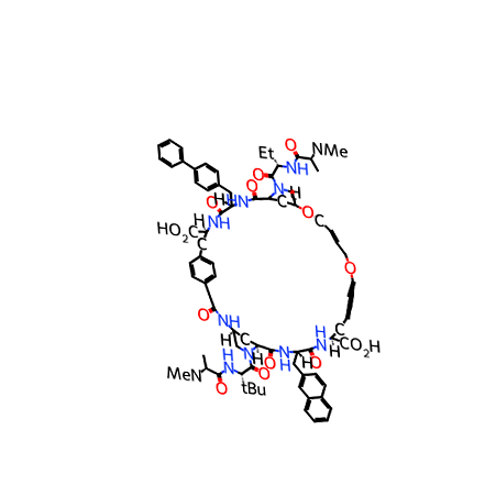 CC[C@H](NC(=O)[C@H](C)NC)C(=O)N1C[C@@H]2CC1C(=O)N[C@@H](Cc1ccc(-c3ccccc3)cc1)C(=O)N[C@H](C(=O)O)Cc1ccc(cc1)C(=O)N[C@H]1C[C@@H](C(=O)N[C@@H](Cc3ccc4ccccc4c3)C(=O)N[C@H](C(=O)O)Cc3ccc(cc3)OC/C=C/CO2)N(C(=O)[C@@H](NC(=O)[C@H](C)NC)C(C)(C)C)C1